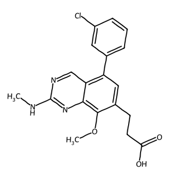 CNc1ncc2c(-c3cccc(Cl)c3)cc(CCC(=O)O)c(OC)c2n1